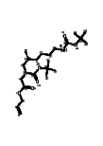 C=CCOC(=O)CN(C[C@@H](C)CCCCNC(=O)OC(C)(C)C)C(=O)OC(C)(C)C